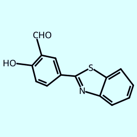 O=Cc1cc(-c2nc3ccccc3s2)ccc1O